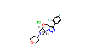 Cl.Fc1ccc(-c2nnn3c2CO[C@@H]2CN(C4CCOCC4)C[C@H]23)c(F)c1